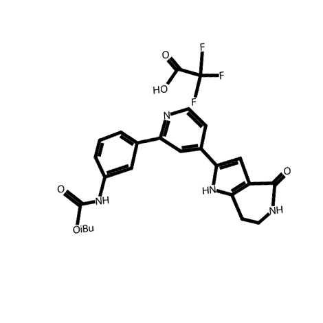 CC(C)COC(=O)Nc1cccc(-c2cc(-c3cc4c([nH]3)CCNC4=O)ccn2)c1.O=C(O)C(F)(F)F